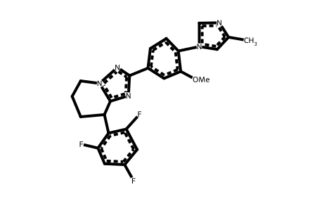 COc1cc(-c2nc3n(n2)CCCC3c2c(F)cc(F)cc2F)ccc1-n1cnc(C)c1